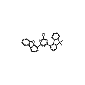 CC1(C)c2ccccc2-c2c(-c3nc(Cl)nc(-c4cccc5c4oc4ccccc45)n3)cccc21